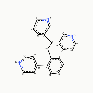 c1cncc(C(Cc2ccccc2-c2ccncc2)c2cccnc2)c1